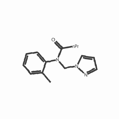 CCCC(=O)N(Cn1cccn1)c1ccccc1C